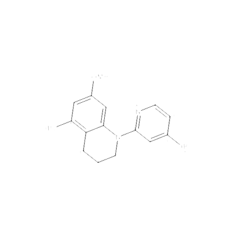 COc1cc2c(c(C(C)(C)C)c1)CCCN2c1cc(C(C)(C)C)ccn1